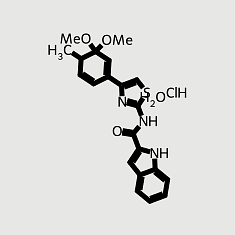 COC1(OC)C=C(c2csc(NC(=O)c3cc4ccccc4[nH]3)n2)C=CC1C.Cl.O